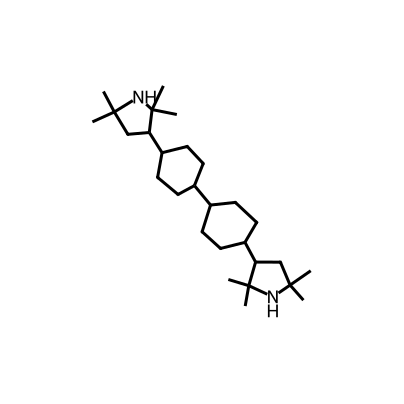 CC1(C)CC(C2CCC(C3CCC(C4CC(C)(C)NC4(C)C)CC3)CC2)C(C)(C)N1